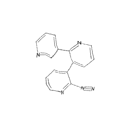 N#[N+]c1ncccc1-c1cccnc1-c1cccnc1